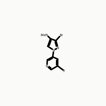 CNc1cn(-c2cncc(F)c2)nc1Br